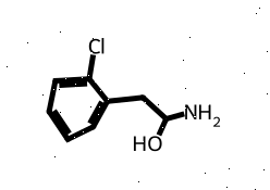 NC(O)Cc1ccccc1Cl